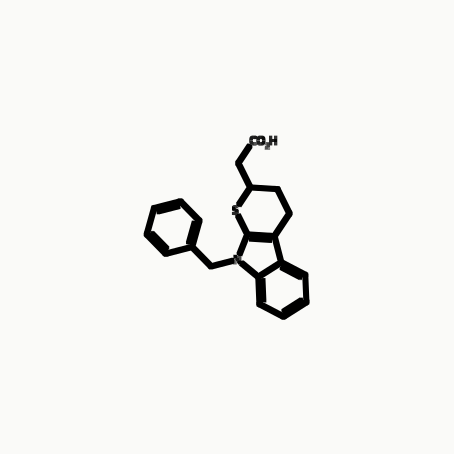 O=C(O)CC1CCc2c(n(Cc3ccccc3)c3ccccc23)S1